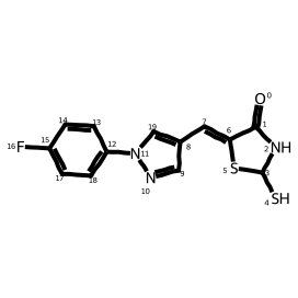 O=C1NC(S)S/C1=C\c1cnn(-c2ccc(F)cc2)c1